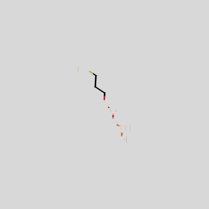 OPOOOCCCS